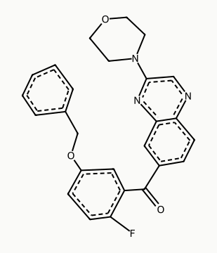 O=C(c1ccc2ncc(N3CCOCC3)nc2c1)c1cc(OCc2ccccc2)ccc1F